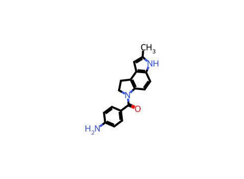 Cc1cc2c3c(ccc2[nH]1)N(C(=O)c1ccc(N)cc1)CC3